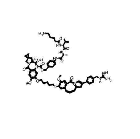 COc1cc2c(cc1OCCCCCOc1cc3c(cc1OC)C(=O)N1CC4(CC4)C[C@H]1C(O)N3C(=O)OCc1ccc(NC(=O)[C@H](C)NC(=O)[C@@H](NC(=O)CCCCN)C(C)C)cc1)C=C=CC1CC(c3ccc(CNC(=N)N)cc3)=CN1C2=O